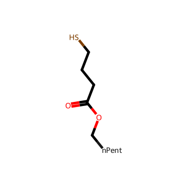 CCCCCCOC(=O)CCCS